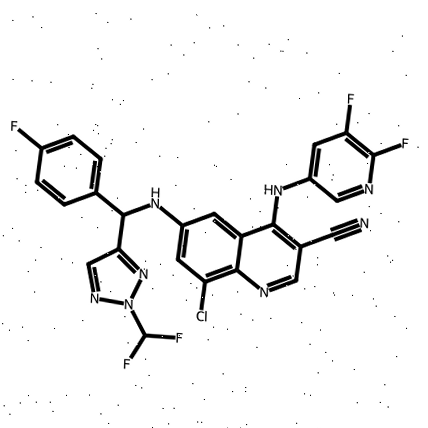 N#Cc1cnc2c(Cl)cc(NC(c3ccc(F)cc3)c3cnn(C(F)F)n3)cc2c1Nc1cnc(F)c(F)c1